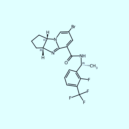 C[C@@H](NC(=O)C1=CC(Br)=CN2C1=N[C@@H]1CCC[C@@H]12)c1cccc(C(F)(F)F)c1F